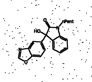 CCCCCN1C(=O)C(O)(c2ccc3ocnc3c2)c2ccccc21